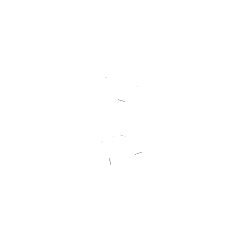 COC(=O)C1C2CC3C(OC(=O)C31)C2OCOC(=O)C(C)CS